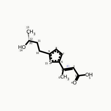 C/C(=C\C(=O)O)c1ccc(CC[C@@H](C)O)s1